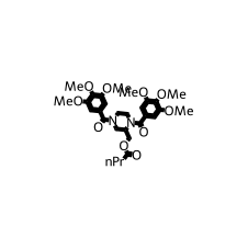 CCCC(=O)OCC1CN(C(=O)c2cc(OC)c(OC)c(OC)c2)CCN1C(=O)c1cc(OC)c(OC)c(OC)c1